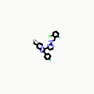 CCc1ccn2c(-c3ccnc(NCc4c(F)cccc4Cl)n3)c(-c3ccc(F)cc3)nc2c1